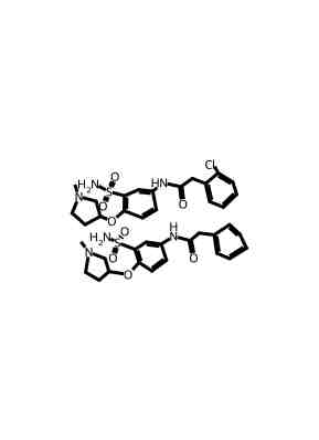 CN1CCC(Oc2ccc(NC(=O)Cc3ccccc3)cc2S(N)(=O)=O)C1.CN1CCC(Oc2ccc(NC(=O)Cc3ccccc3Cl)cc2S(N)(=O)=O)C1